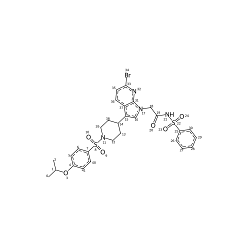 CC(C)Oc1ccc(S(=O)(=O)N2CCC(c3cn(CC(=O)NS(=O)(=O)c4ccccc4)c4nc(Br)ccc34)CC2)cc1